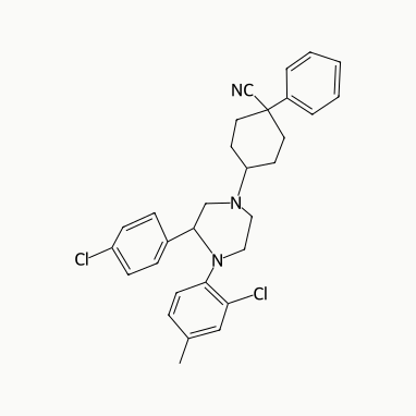 Cc1ccc(N2CCN(C3CCC(C#N)(c4ccccc4)CC3)CC2c2ccc(Cl)cc2)c(Cl)c1